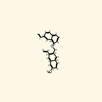 C=Cc1ccc2cccc(OCc3cc4ccc(OC)cc4cc3C=C)c2c1